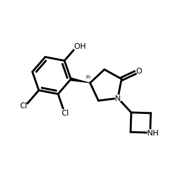 O=C1C[C@H](c2c(O)ccc(Cl)c2Cl)CN1C1CNC1